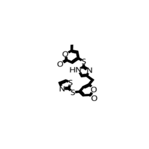 Cc1cc(Sc2nc(Cc3cc(Sc4nccs4)cc(=O)o3)c[nH]2)cc(=O)o1